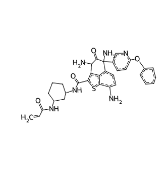 C=CC(=O)NC1CCCC(NC(=O)c2sc3c(N)ccc4c3c2C(N)C(=O)C4(N)c2ccc(Oc3ccccc3)nc2)C1